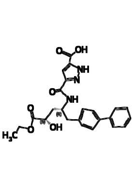 CCOC(=O)[C@@H](O)C[C@@H](Cc1ccc(-c2ccccc2)cc1)NC(=O)c1cc(C(=O)O)[nH]n1